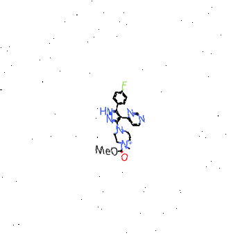 COC(=O)[N+]1(C)CCN(c2n[nH]c(-c3ccc(F)cc3)c2-c2ccncn2)CC1